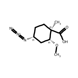 CO[C@@H]1C[C@H](N=[N+]=[N-])CC[C@@]1(C)C(=O)O